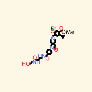 CCOc1cc(C(=O)OC)c(C2CC2)cc1CN1CCC2(CC1)CC(=O)N(c1ccc(C(=O)NCCCC(=O)NCCO)cc1)C2